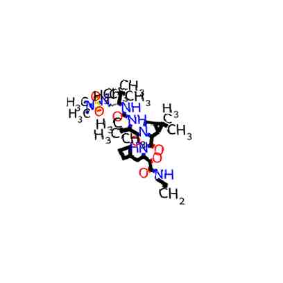 C=CCNC(=O)C(=O)C(CC1CCC1)NC(=O)C1C2C(CN1C(=O)C(NC(=O)N[C@H](CN(C)S(=O)(=O)N(C)C)C(C)(C)C)C(C)(C)C)C2(C)C